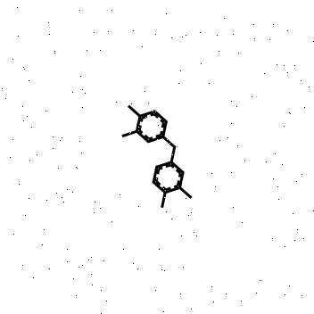 Cc1ccc([CH]c2ccc(C)c(C)c2)cc1C